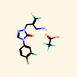 NCC(Cn1ncn(-c2ccc(Br)c(F)c2)c1=O)=C(F)F.O=C(O)C(F)(F)F